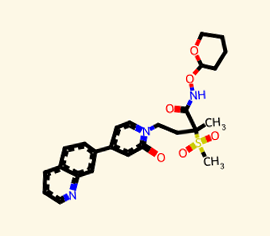 CC(CCn1ccc(-c2ccc3cccnc3c2)cc1=O)(C(=O)NOC1CCCCO1)S(C)(=O)=O